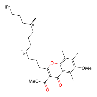 COC(=O)c1c(CCC[C@H](C)CCC[C@H](C)CCCC(C)C)oc2c(C)c(C)c(OC)c(C)c2c1=O